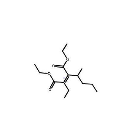 CCCC(C)/C(C(=O)OCC)=C(\CC)C(=O)OCC